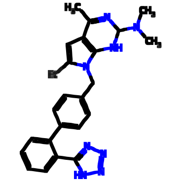 CCc1cc2c(n1Cc1ccc(-c3ccccc3-c3nnn[nH]3)cc1)NC(N(C)C)N=C2C